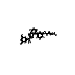 Cc1cc(C)cc(Nc2nc3c(-c4cccc(OCCN)c4)nccn3n2)c1